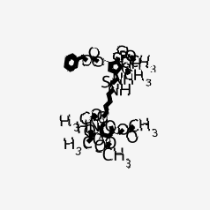 CO[C@H]1C(OP(=O)(O)OC)[C@@H](COC(=O)OCc2ccccc2)C[C@@H]1NC(=S)NCCCCO[C@@H]1O[C@H](COC(C)=O)[C@H](OC(C)=O)[C@H](OC(C)=O)[C@H]1NC(C)=O